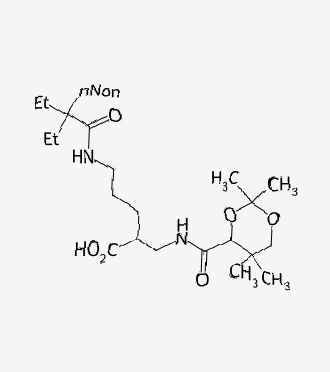 CCCCCCCCCC(CC)(CC)C(=O)NCCCC(CNC(=O)C1OC(C)(C)OCC1(C)C)C(=O)O